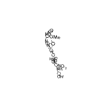 COc1cc(CN2CCN([C@H]3CC4(CCN(c5ccc(C(=O)NS(=O)(=O)c6ccc(NCC7CCC(C)(O)CC7)c([N+](=O)[O-])c6)cc5)CC4)[C@@H]3C)[C@H](c3ccccc3C)C2)cnc1N1CCOCC1